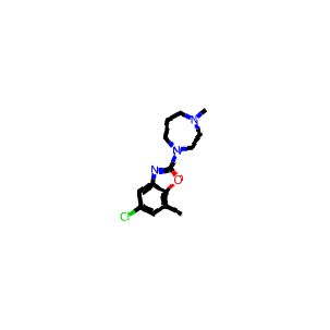 Cc1cc(Cl)cc2nc(N3CCCN(C)CC3)oc12